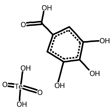 O=C(O)c1cc(O)c(O)c(O)c1.O=[Te](=O)(O)O